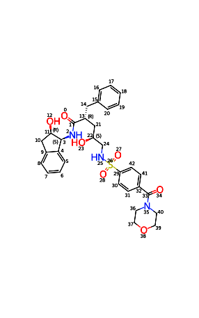 O=C(N[C@H]1c2ccccc2C[C@H]1O)[C@H](Cc1ccccc1)C[C@H](O)CNS(=O)(=O)c1ccc(C(=O)N2CCOCC2)cc1